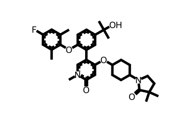 Cc1cc(F)cc(C)c1Oc1ccc(C(C)(C)O)cc1-c1cn(C)c(=O)cc1OC1CCC(N2CCC(C)(C)C2=O)CC1